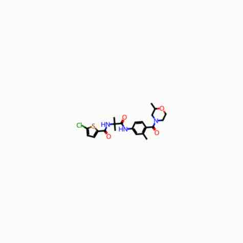 Cc1cc(NC(=O)C(C)(C)NC(=O)c2ccc(Cl)s2)ccc1C(=O)N1CCOC(C)C1